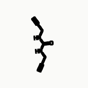 C#CCNC(=O)NCC#C